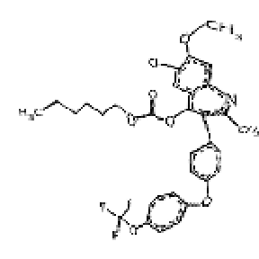 CCCCCCOC(=O)Oc1c(-c2ccc(Oc3ccc(OC(F)(F)F)cc3)cc2)c(C)nc2cc(OC)c(Cl)cc12